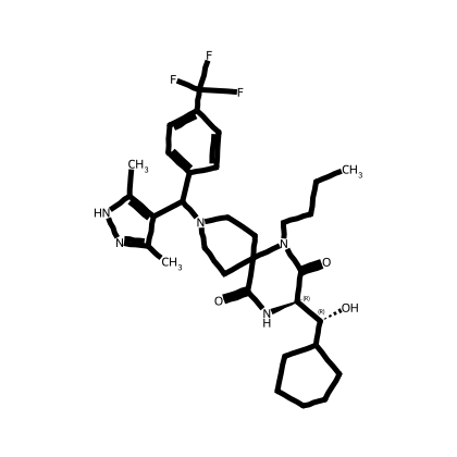 CCCCN1C(=O)[C@@H]([C@H](O)C2CCCCC2)NC(=O)C12CCN(C(c1ccc(C(F)(F)F)cc1)c1c(C)n[nH]c1C)CC2